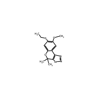 CCSc1cc2c(cc1OC)-c1nn[se]c1C(C)(C)O2